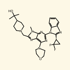 Cn1c(CN2CCC(C(C)(C)O)CC2)nc2c(N3CCOCC3)nc(-n3c([C@H]4CC4(F)F)nc4ccccc43)nc21